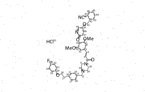 COc1cc(/C=C/C(=O)N2CCN(Cc3ccc(CCOc4ccc(F)cc4)cc3)CC2)cc(OC)c1Oc1ccc(OCc2ccccc2C#N)cn1.Cl